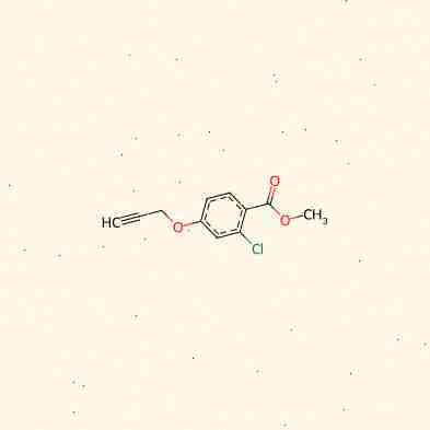 C#CCOc1ccc(C(=O)OC)c(Cl)c1